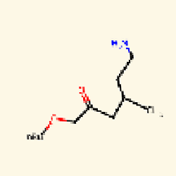 CCCCOCC(=O)CC(C)CCN